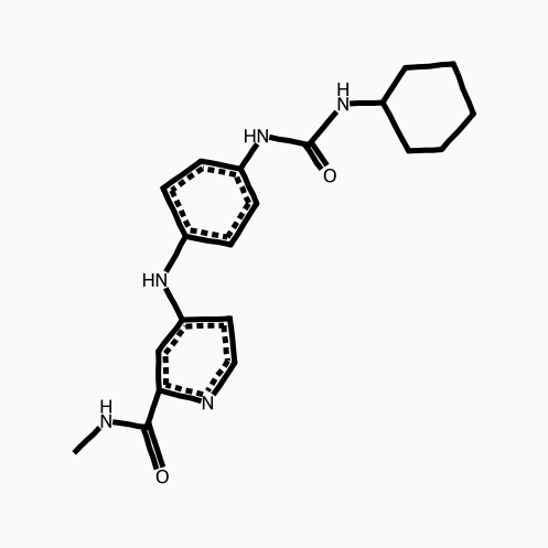 CNC(=O)c1cc(Nc2ccc(NC(=O)NC3CCCCC3)cc2)ccn1